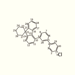 Clc1ccc(-c2cccc(-c3cccc4c3-c3ccccc3C43CCCCC3)c2)cc1